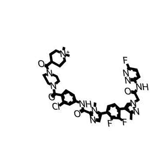 Cc1nn(CC(=O)Nc2ccc(F)nn2)cc1-c1ccc(-c2cnc(C(=O)Nc3ccc(C(=O)N4CCN(C(=O)C5CC[N+](C)(C)CC5)CC4)c(Cl)c3)n2C)c(F)c1F